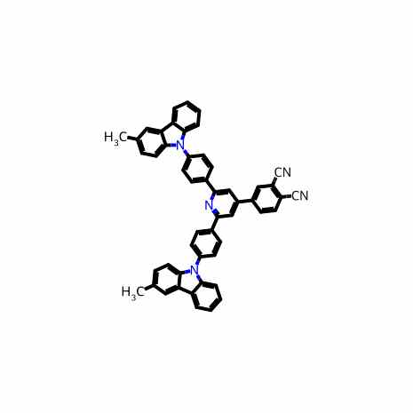 Cc1ccc2c(c1)c1ccccc1n2-c1ccc(-c2cc(-c3ccc(C#N)c(C#N)c3)cc(-c3ccc(-n4c5ccccc5c5cc(C)ccc54)cc3)n2)cc1